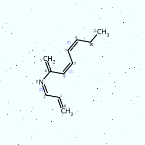 C=C/C=N\C(=C)/C=C\C=C/CC